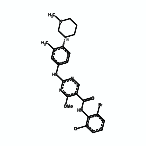 COc1nc(Nc2ccc([C@H]3CCCN(C)C3)c(C)c2)ncc1C(=O)Nc1c(Cl)cccc1Br